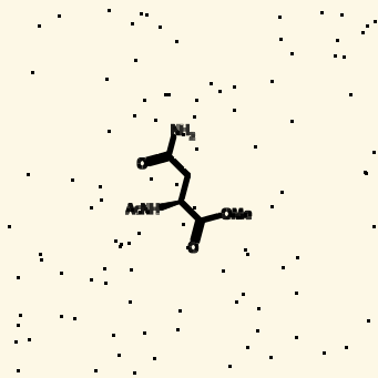 COC(=O)[C@H](CC(N)=O)NC(C)=O